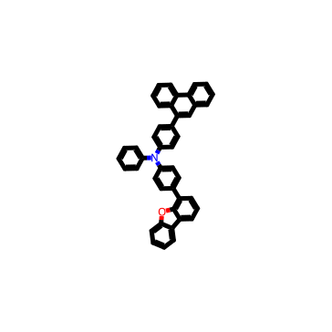 c1ccc(N(c2ccc(-c3cc4ccccc4c4ccccc34)cc2)c2ccc(-c3cccc4c3oc3ccccc34)cc2)cc1